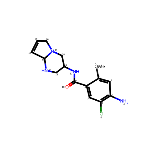 COc1cc(N)c(Cl)cc1C(=O)NC1CNC2C=CCN2C1